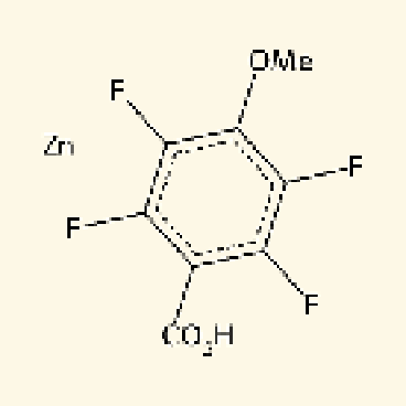 COc1c(F)c(F)c(C(=O)O)c(F)c1F.[Zn]